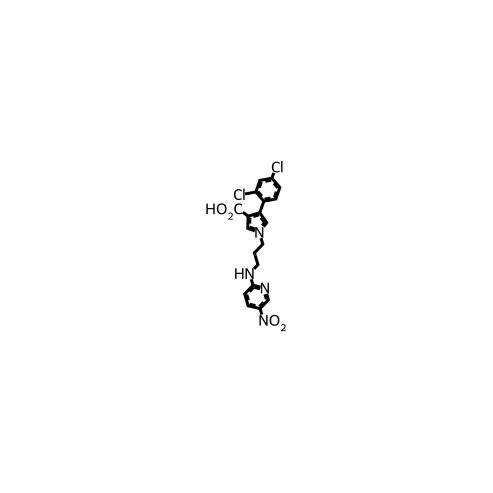 O=C(O)c1cn(CCCNc2ccc([N+](=O)[O-])cn2)cc1-c1ccc(Cl)cc1Cl